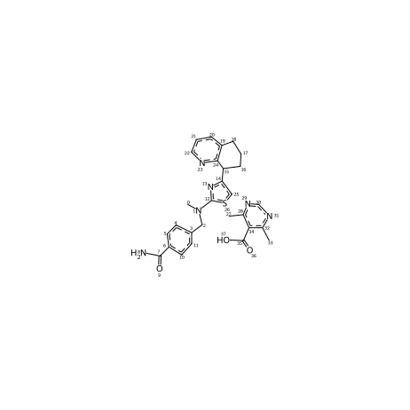 CN(Cc1ccc(C(N)=O)cc1)c1nc(C2CCCc3cccnc32)cs1.Cc1ncnc(C)c1C(=O)O